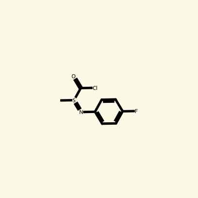 CS(=Nc1ccc(F)cc1)C(=O)Cl